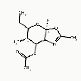 CCC1O[C@H]2OC(C)=NC2C(OC(C)=O)[C@H]1C